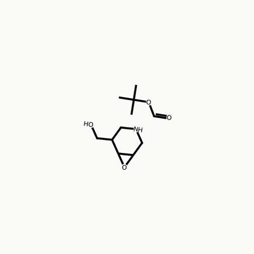 CC(C)(C)OC=O.OCC1CNCC2OC12